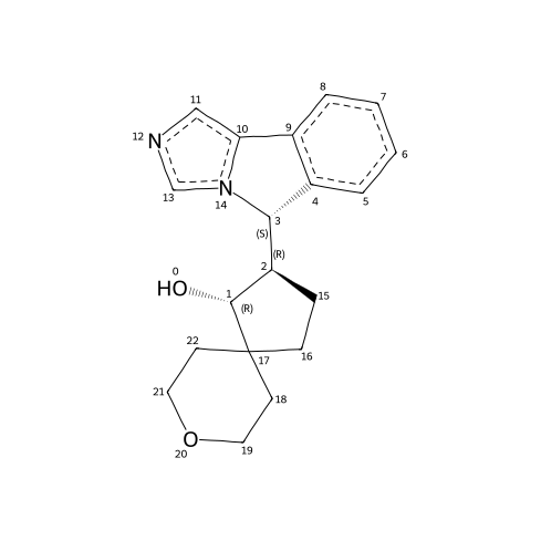 O[C@@H]1[C@@H]([C@H]2c3ccccc3-c3cncn32)CCC12CCOCC2